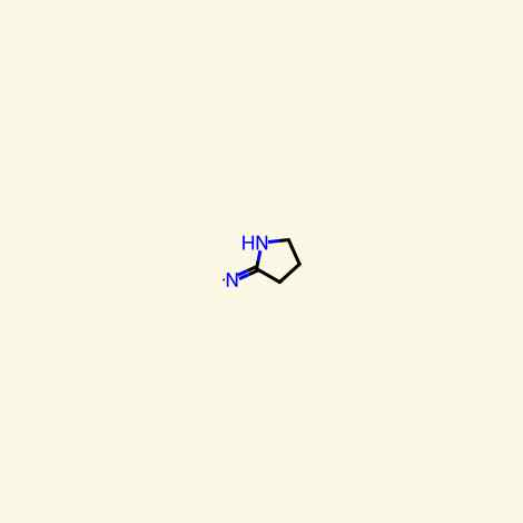 [N]=C1CCCN1